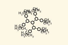 C[Si](C)(C)c1ccc(-c2cc(-c3ccc([Si](C)(C)C)cc3)cc(-c3cc(-c4cc(-c5ccc([Si](C)(C)C)cc5)cc(-c5ccc([Si](C)(C)C)cc5)c4)cc(-c4cc(-c5ccc([Si](C)(C)C)cc5)cc(-c5ccc([Si](C)(C)C)cc5)c4)c3)c2)cc1